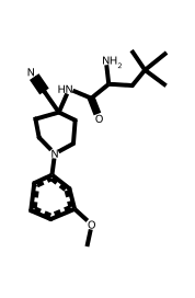 COc1cccc(N2CCC(C#N)(NC(=O)C(N)CC(C)(C)C)CC2)c1